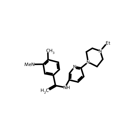 C=C(Nc1ccc(N2CCN(CC)CC2)nc1)c1ccc(C)c(NC)c1